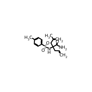 C=CCC(CC(=C)C)(NS(=O)(=O)c1ccc(C)cc1)C(N)=O